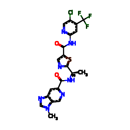 C[C@@H](NC(=O)c1cc2ncn(C)c2cn1)c1ncc(C(=O)Nc2cc(C(F)(F)F)c(Cl)cn2)s1